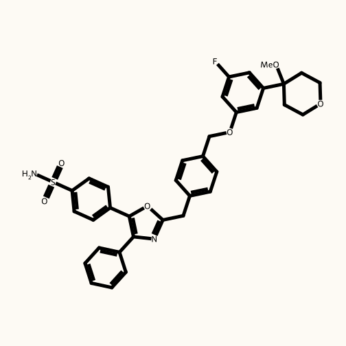 COC1(c2cc(F)cc(OCc3ccc(Cc4nc(-c5ccccc5)c(-c5ccc(S(N)(=O)=O)cc5)o4)cc3)c2)CCOCC1